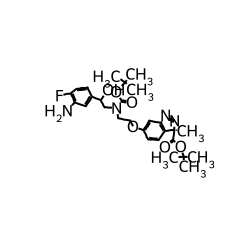 CC(C)(C)OC(=O)N(CCOc1ccc2c(c1)N=N[C@@]2(C)C(=O)OC(C)(C)C)CC(O)c1ccc(F)c(N)c1